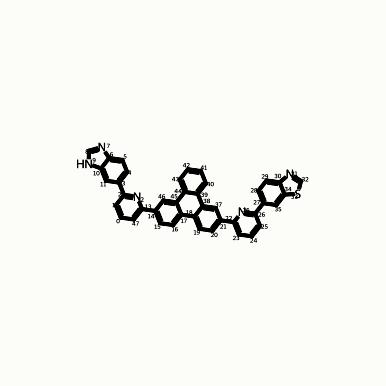 c1cc(-c2ccc3nc[nH]c3c2)nc(-c2ccc3c4ccc(-c5cccc(-c6ccc7ncsc7c6)n5)cc4c4ccccc4c3c2)c1